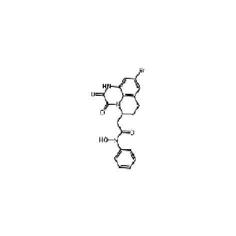 O=C(CC1CCc2cc(Br)cc3[nH]c(=O)c(=O)n1c23)N(O)c1ccccc1